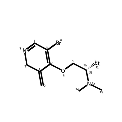 C=C1CN=CC(Br)=C1OC[C@H](CC)N(C)C